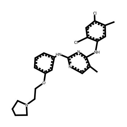 Cc1cc(Nc2nc(Nc3cccc(OCCN4CCCC4)c3)ncc2C)c(Cl)cc1Cl